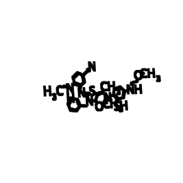 CCNc1ccc(C#N)cc1/N=C1\S/C(=C(\C)N(C)c2ccc(NCCOC)cc2S)C(=O)N1Cc1ccccc1